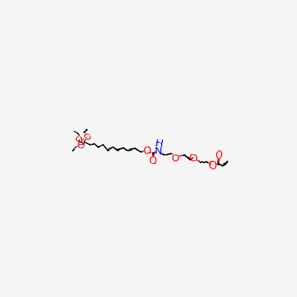 C=CC(=O)OCCOCCOCCNC(=O)OCCCCCCCCCCC[Si](OCC)(OCC)OCC